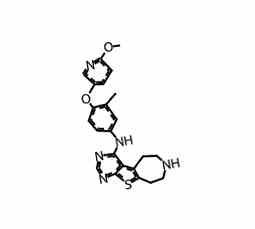 COc1ccc(Oc2ccc(Nc3ncnc4sc5c(c34)CCNCC5)cc2C)cn1